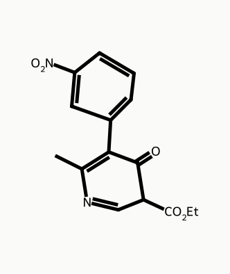 CCOC(=O)C1C=NC(C)=C(c2cccc([N+](=O)[O-])c2)C1=O